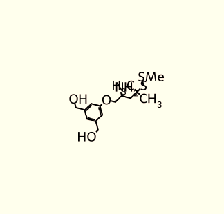 CSSC(C)(C)CC(N)COc1cc(CO)cc(CO)c1